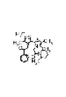 CC1=C(C)N(CC(=O)c2ccccn2)C(C2SC(C)=C(C)N2CC(=O)N2CCCCC2C)S1